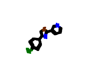 BrC1=CCC(c2csc(-c3cccnc3)n2)C=C1